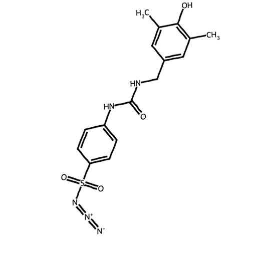 Cc1cc(CNC(=O)Nc2ccc(S(=O)(=O)N=[N+]=[N-])cc2)cc(C)c1O